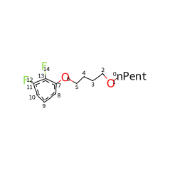 CCCCCOCCCCOc1cccc(F)c1F